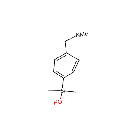 CNCc1ccc([Si](C)(C)O)cc1